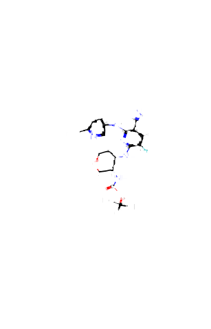 Cc1ccc(Nc2nc(N[C@@H]3CCOC[C@@H]3NC(=O)OC(C)(C)C)c(F)cc2C#N)cn1